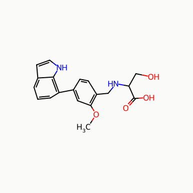 COc1cc(-c2cccc3cc[nH]c23)ccc1CNC(CO)C(=O)O